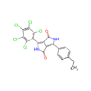 CCc1ccc(C2=C3C(=O)NC(c4c(Cl)c(Cl)c(Cl)c(Cl)c4Cl)=C3C(=O)N2)cc1